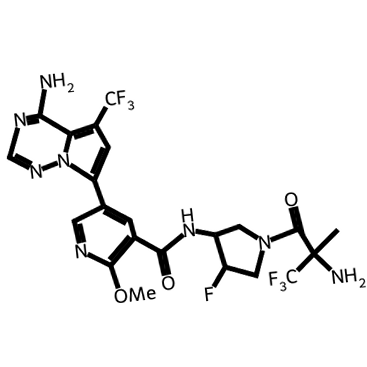 COc1ncc(-c2cc(C(F)(F)F)c3c(N)ncnn23)cc1C(=O)NC1CN(C(=O)C(C)(N)C(F)(F)F)CC1F